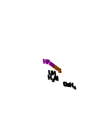 P=S.[AlH3].[GeH4].[LiH]